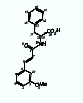 COc1cccc(C=CC(=O)N[C@@H](Cc2ccccc2)C(=O)O)c1